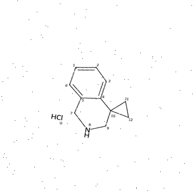 Cl.c1ccc2c(c1)CNCC21CC1